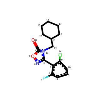 O=c1onc(-c2c(F)cccc2Cl)n1CC1CCCCC1